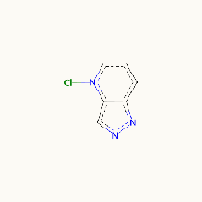 Cln1cccc2nncc1-2